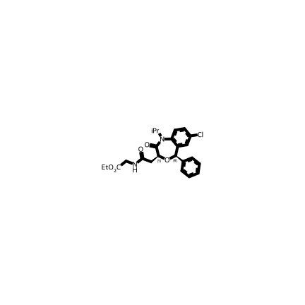 CCOC(=O)CNC(=O)C[C@@H]1O[C@H](c2ccccc2)c2cc(Cl)ccc2N(C(C)C)C1=O